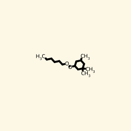 CCCCCCOOC1CC(C)CC(C)(C)C1